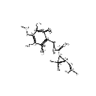 COCc1c(F)c(Br)c(COC(=O)[C@@H]2[C@@H](C=C(C)C)C2(C)C)c(Br)c1F